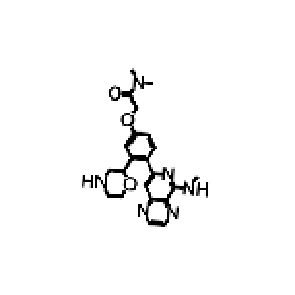 CNc1nc(-c2ccc(OCC(=O)N(C)C)cc2C2CNCCO2)cc2nccnc12